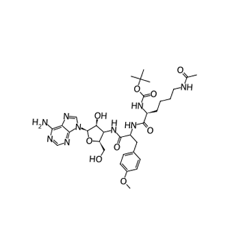 COc1ccc(CC(NC(=O)[C@H](CCCCNC(C)=O)NC(=O)OC(C)(C)C)C(=O)NC2[C@@H](CO)O[C@@H](n3cnc4c(N)ncnc43)[C@H]2O)cc1